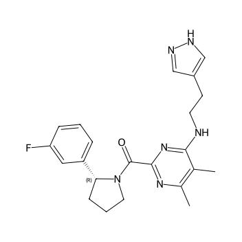 Cc1nc(C(=O)N2CCC[C@@H]2c2cccc(F)c2)nc(NCCc2cn[nH]c2)c1C